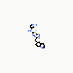 c1cnc2ccc(Cc3nnc4sc(Nc5cc[nH]c5)nn34)cc2c1